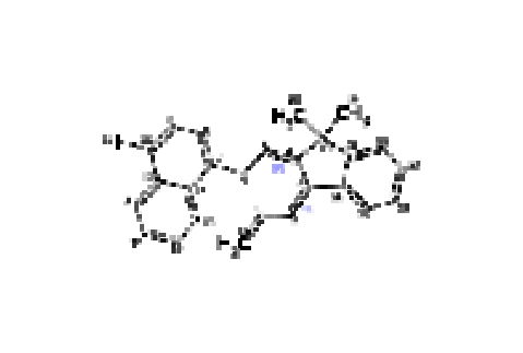 C=C/C=C1\C(=C/Cc2ccc(I)c3ccccc23)C(C)(C)c2ccccc21